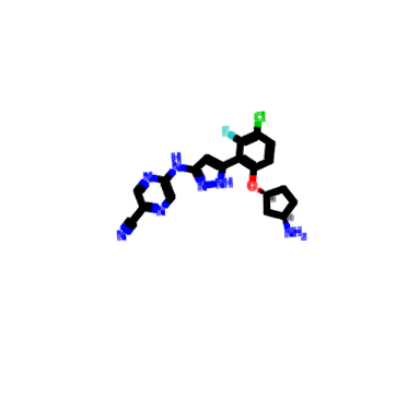 N#Cc1cnc(Nc2cc(-c3c(O[C@@H]4CC[C@@H](N)C4)ccc(Cl)c3F)[nH]n2)cn1